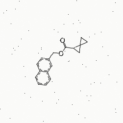 O=C(OCc1ccc2ccccc2c1)C1CC12CC2